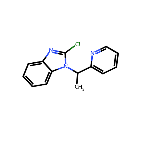 CC(c1ccccn1)n1c(Cl)nc2ccccc21